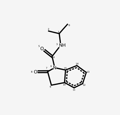 CC(C)NC(=O)N1C(=O)Cc2ccccc21